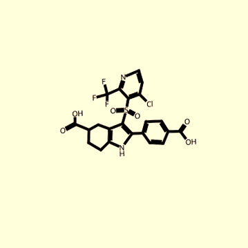 O=C(O)c1ccc(-c2[nH]c3c(c2S(=O)(=O)c2c(Cl)ccnc2C(F)(F)F)CC(C(=O)O)CC3)cc1